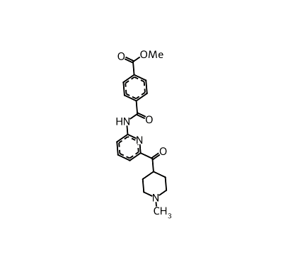 COC(=O)c1ccc(C(=O)Nc2cccc(C(=O)C3CCN(C)CC3)n2)cc1